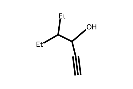 C#CC(O)C(CC)CC